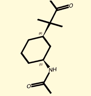 CC(=O)N[C@H]1CCC[C@@H](C(C)(C)C(C)=O)C1